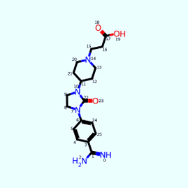 N=C(N)c1ccc(N2CCN(C3CCN(CCC(=O)O)CC3)C2=O)cc1